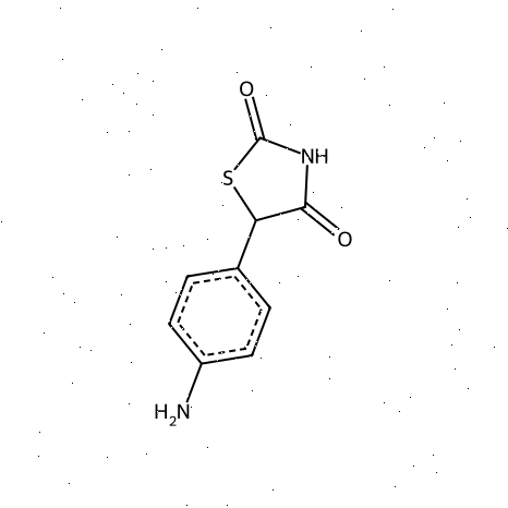 Nc1ccc(C2SC(=O)NC2=O)cc1